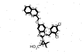 CC1(C)[C@H](c2nc3cc(OCc4ccc5ccccc5n4)ccc3n2Cc2ccc(Cl)cc2Cl)[C@@H]1C(=O)O